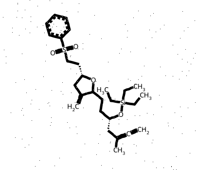 C=C=C(C)C[C@H](CCC1O[C@@H](CCS(=O)(=O)c2ccccc2)CC1=C)O[Si](CC)(CC)CC